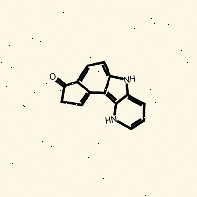 O=C1CC=c2c1ccc1[nH]c3c(c21)NC=CC=3